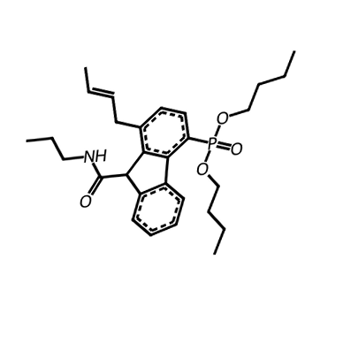 CC=CCc1ccc(P(=O)(OCCCC)OCCCC)c2c1C(C(=O)NCCC)c1ccccc1-2